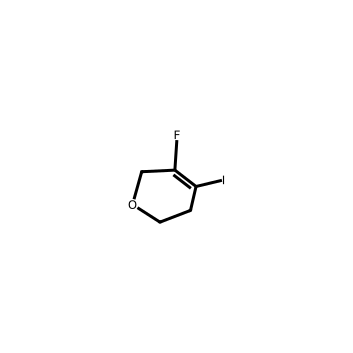 FC1=C(I)CCOC1